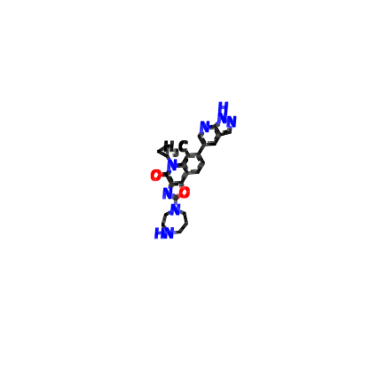 Cc1c(-c2cnc3[nH]ncc3c2)ccc2c3oc(N4CCCNCC4)nc3c(=O)n(C3CC3)c12